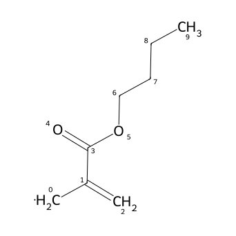 [CH2]C(=C)C(=O)OCCCC